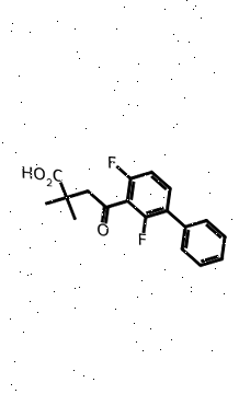 CC(C)(CC(=O)c1c(F)ccc(-c2ccccc2)c1F)C(=O)O